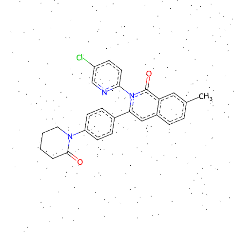 Cc1ccc2cc(-c3ccc(N4CCCCC4=O)cc3)n(-c3ccc(Cl)cn3)c(=O)c2c1